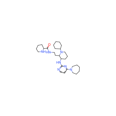 O=C(NCCC1C(Nc2nccc(N3CCCCCC3)n2)CCCN1C1CCCCC1)C1CCCCN1